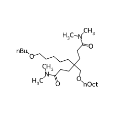 CCCCCCCCOCC(CCCCCOCCCC)(CCC(=O)N(C)C)CCC(=O)N(C)C